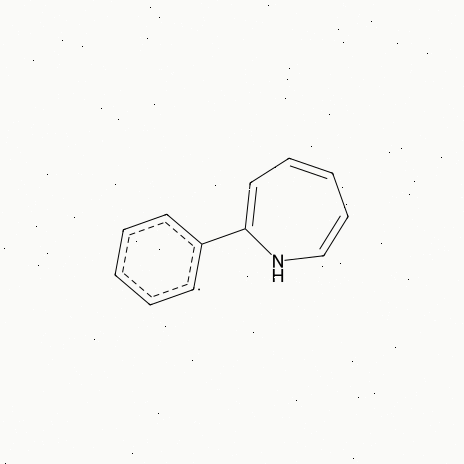 [c]1ccccc1C1=CC=CC=CN1